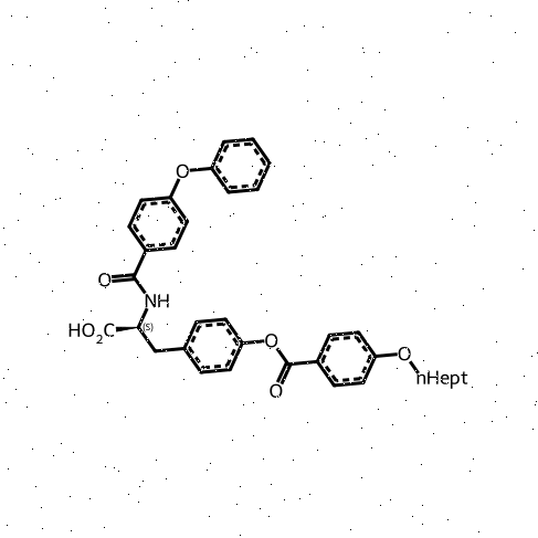 CCCCCCCOc1ccc(C(=O)Oc2ccc(C[C@H](NC(=O)c3ccc(Oc4ccccc4)cc3)C(=O)O)cc2)cc1